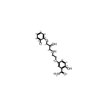 NC(=O)c1cc(OCCNCC(O)COc2ccccc2Cl)ccc1O